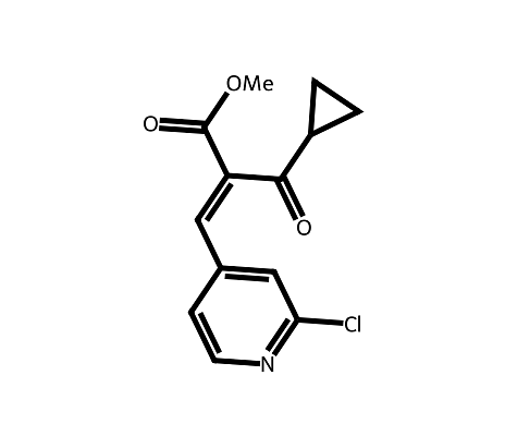 COC(=O)/C(=C/c1ccnc(Cl)c1)C(=O)C1CC1